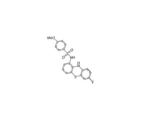 COc1ccc(S(=O)(=O)Nc2cccc3c2Nc2ccc(F)cc2S3)cc1